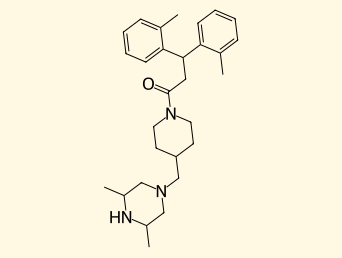 Cc1ccccc1C(CC(=O)N1CCC(CN2CC(C)NC(C)C2)CC1)c1ccccc1C